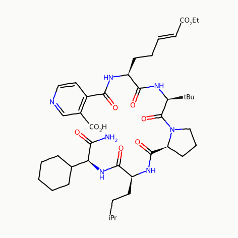 CCOC(=O)/C=C/CC[C@H](NC(=O)c1ccncc1C(=O)O)C(=O)N[C@H](C(=O)N1CCC[C@H]1C(=O)N[C@@H](CCC(C)C)C(=O)N[C@H](C(N)=O)C1CCCCC1)C(C)(C)C